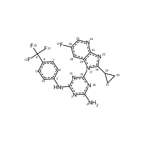 Nc1nc(Nc2ccc(C(F)(F)F)cc2)nc(-n2c(C3CC3)nc3ncc(F)cc32)n1